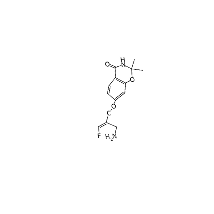 CC1(C)NC(=O)c2ccc(OC/C(=C/F)CN)cc2O1